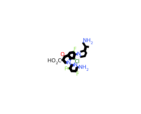 C/C(CN)=C1\CCCN(c2c(F)cc3c(=O)c(C(=O)O)cn(-c4nc(N)c(F)cc4F)c3c2Cl)C1